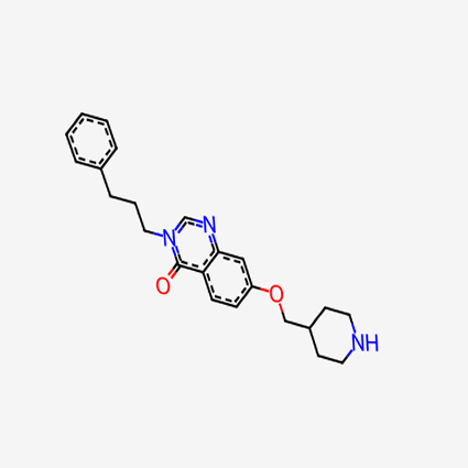 O=c1c2ccc(OCC3CCNCC3)cc2ncn1CCCc1ccccc1